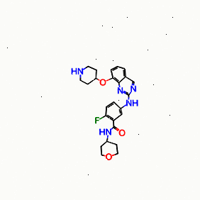 O=C(NC1CCOCC1)c1cc(Nc2ncc3cccc(OC4CCNCC4)c3n2)ccc1F